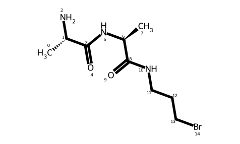 C[C@H](N)C(=O)N[C@@H](C)C(=O)NCCCBr